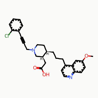 COc1ccc2nccc(CCC[C@@H]3CCN(CC#Cc4ccccc4Cl)C[C@@H]3CC(=O)O)c2c1